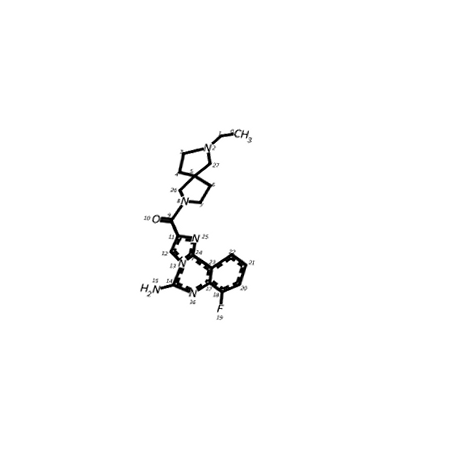 CCN1CCC2(CCN(C(=O)c3cn4c(N)nc5c(F)cccc5c4n3)C2)C1